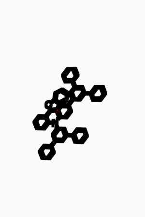 c1ccc(-c2cc(-c3ccccc3)cc(-c3ccc(N(c4cc(-c5ccccc5)cc(-c5ccccc5)c4)c4ccccc4-c4cc5ccccc5o4)cc3)c2)cc1